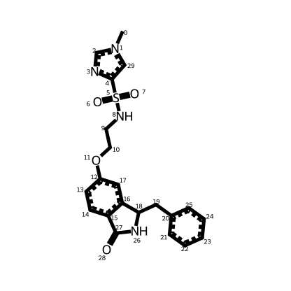 Cn1cnc(S(=O)(=O)NCCOc2ccc3c(c2)C(Cc2ccccc2)NC3=O)c1